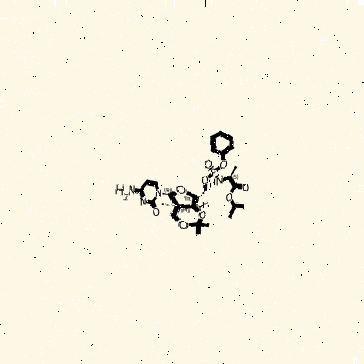 CC(C)OC(=O)[C@H](C)NP(=O)(OC[C@H]1O[C@@H](n2ccc(N)nc2=O)[C@]2(C)COC(C)(C)O[C@H]12)Oc1ccccc1